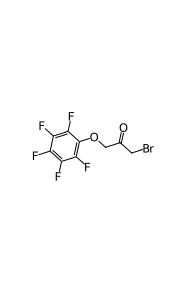 O=C(CBr)COc1c(F)c(F)c(F)c(F)c1F